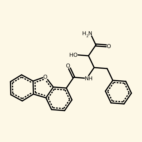 NC(=O)C(O)C(Cc1ccccc1)NC(=O)c1cccc2c1oc1ccccc12